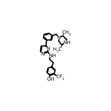 C[C@H]1CN(Cc2cccc(-c3ccnc(NCCc4ccc(O)c(C(F)(F)F)c4)n3)c2)[C@@H](C)CN1